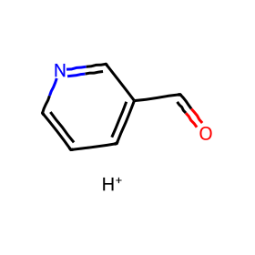 O=Cc1cccnc1.[H+]